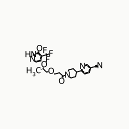 C[C@@H](COCCC(=O)N1CCC(c2ccc(C#N)cn2)CC1)Oc1cn[nH]c(=O)c1C(F)(F)F